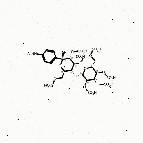 CC(=O)Nc1ccc([C@@]2(S)O[C@H](COS(=O)(=O)O)[C@@H](O[C@@H]3O[C@H](COS(=O)(=O)O)[C@@H](OS(=O)(=O)O)[C@H](OS(=O)(=O)O)[C@H]3OS(=O)(=O)O)[C@H](OS(=O)(=O)O)[C@H]2OS(=O)(=O)O)cc1